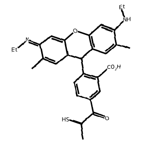 CC/N=C1/C=C2Oc3cc(NCC)c(C)cc3C(c3ccc(C(=O)C(C)S)cc3C(=O)O)C2C=C1C